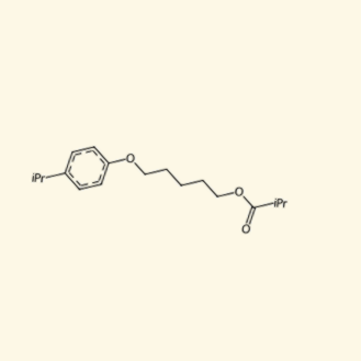 CC(C)C(=O)OCCCCCOc1ccc(C(C)C)cc1